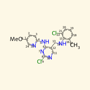 COc1ccc(Nc2nc(Cl)ncc2CNc2c(C)cccc2Cl)nc1